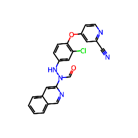 N#Cc1cc(Oc2ccc(NN(C=O)c3cc4ccccc4cn3)cc2Cl)ccn1